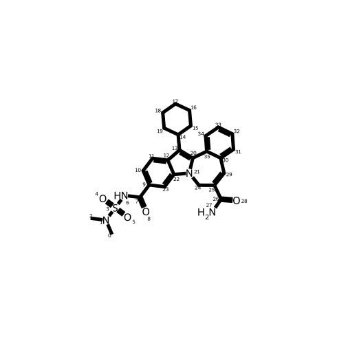 CN(C)S(=O)(=O)NC(=O)c1ccc2c(C3CCCCC3)c3n(c2c1)CC(C(N)=O)=Cc1ccccc1-3